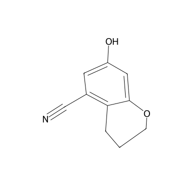 N#Cc1cc(O)cc2c1CCCO2